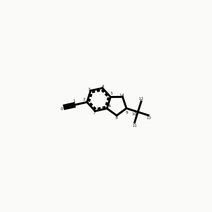 C#Cc1ccc2c(c1)CC(C(C)(C)C)C2